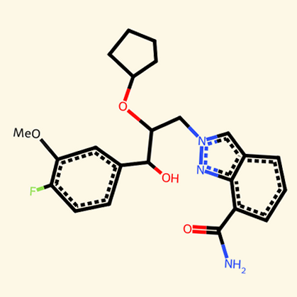 COc1cc(C(O)C(Cn2cc3cccc(C(N)=O)c3n2)OC2CCCC2)ccc1F